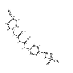 CS(=O)(=O)CNc1ccc(CC(=O)CC(=O)Cc2ccc(C#N)cc2)cc1